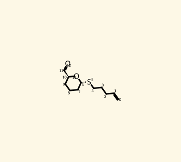 C=CCCCS[C@@H]1CCC[C@@H](C=O)O1